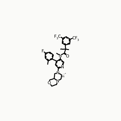 Cc1cc(F)ccc1-c1cc(N2CC3COCCN3C[C@H]2C)ncc1N(C)C(=O)C(C)(C)c1cc(C(F)(F)F)cc(C(F)(F)F)c1